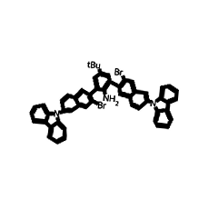 CC(C)(C)c1cc(-c2cc3ccc(-n4c5ccccc5c5ccccc54)cc3cc2Br)c(N)c(-c2cc3ccc(-n4c5ccccc5c5ccccc54)cc3cc2Br)c1